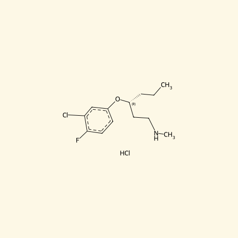 CCC[C@H](CCNC)Oc1ccc(F)c(Cl)c1.Cl